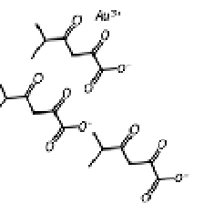 CC(C)C(=O)CC(=O)C(=O)[O-].CC(C)C(=O)CC(=O)C(=O)[O-].CC(C)C(=O)CC(=O)C(=O)[O-].[Au+3]